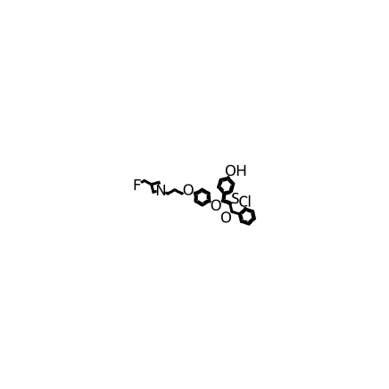 O=C(c1ccccc1Cl)c1sc2cc(O)ccc2c1Oc1ccc(OCCCN2CC(CF)C2)cc1